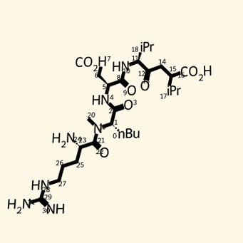 CCCC[C@@H](C(=O)N[C@@H](CC(=O)O)C(=O)N[C@H](C(=O)CC(C(=O)O)C(C)C)C(C)C)N(C)C(=O)[C@@H](N)CCCNC(=N)N